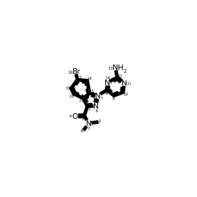 CN(C)C(=O)c1nn(-c2ccnc(N)n2)c2cc(Br)ccc12